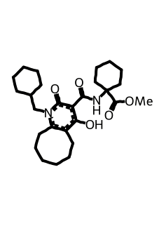 COC(=O)C1(NC(=O)c2c(O)c3c(n(CC4CCCCC4)c2=O)CCCCCC3)CCCCC1